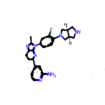 Cc1nc2ccc(-c3ccnc(N)c3)nc2n1-c1ccc(N2C[C@H]3CNC[C@H]3C2)c(F)c1